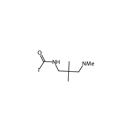 CNCC(C)(C)CNC(=O)I